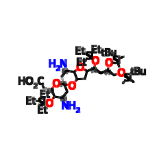 CC[Si](CC)(CC)OC1[C@H](CC(=O)O)O[C@]2(C[C@H](N)C3OC([C@H](C[C@H](CO[Si](C)(C)C(C)(C)C)O[Si](C)(C)C(C)(C)C)O[Si](CC)(CC)CC)CC3O2)C[C@@H]1N